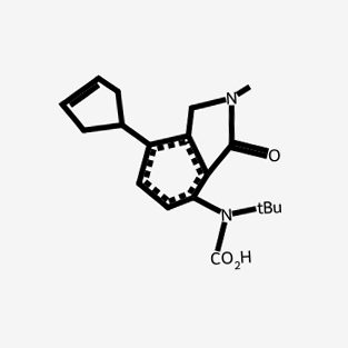 CN1Cc2c(C3CC=CC3)ccc(N(C(=O)O)C(C)(C)C)c2C1=O